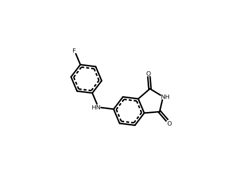 O=C1NC(=O)c2cc(Nc3ccc(F)cc3)ccc21